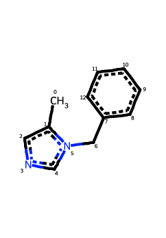 Cc1[c]ncn1Cc1ccccc1